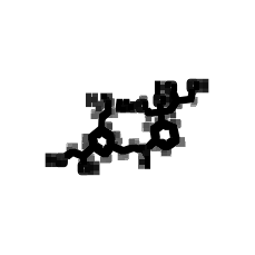 COCC(O)(CC(O)CO)c1cccc(NCCc2cc(CCN)cc(C(O)CO)c2)c1